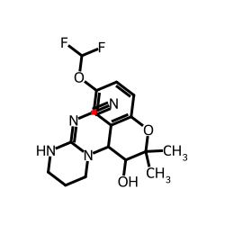 CC1(C)Oc2ccc(OC(F)F)cc2C(N2CCCN/C2=N/C#N)C1O